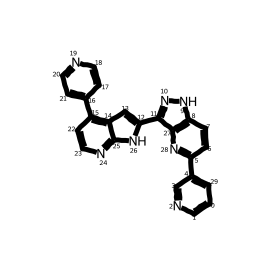 c1cncc(-c2ccc3[nH]nc(-c4cc5c(-c6ccncc6)ccnc5[nH]4)c3n2)c1